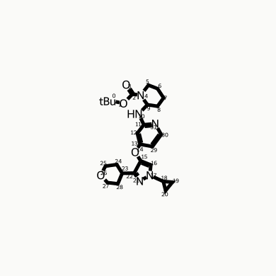 CC(C)(C)OC(=O)N1CCCCC1Nc1cc(Oc2cn(C3CC3)nc2C2CCOCC2)ccn1